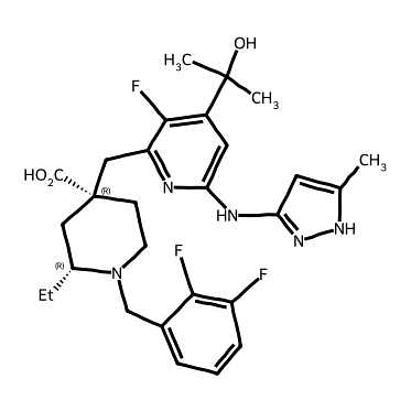 CC[C@@H]1C[C@](Cc2nc(Nc3cc(C)[nH]n3)cc(C(C)(C)O)c2F)(C(=O)O)CCN1Cc1cccc(F)c1F